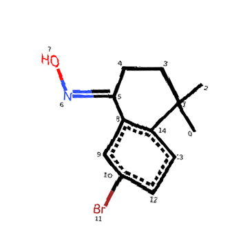 CC1(C)CC/C(=N\O)c2cc(Br)ccc21